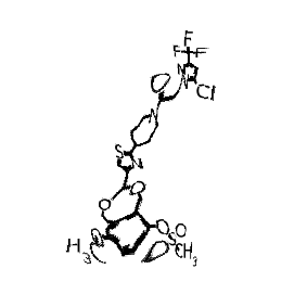 COc1ccc(OS(C)(=O)=O)c2c1COC(c1csc(C3CCN(C(=O)Cn4nc(C(F)(F)F)cc4Cl)CC3)n1)OC2